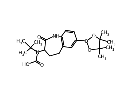 CC(C)(C)N(C(=O)O)C1CCc2cc(B3OC(C)(C)C(C)(C)O3)ccc2NC1=O